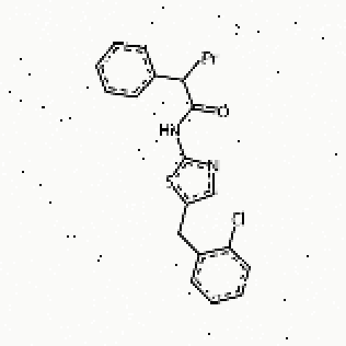 CC(C)C(C(=O)Nc1ncc(Cc2ccccc2Cl)s1)c1ccccc1